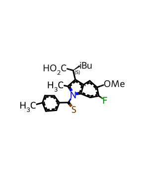 CCC(C)[C@H](C(=O)O)c1c(C)n(C(=S)c2ccc(C)cc2)c2cc(F)c(OC)cc12